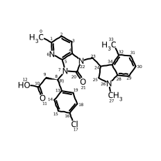 Cc1ccc2c(n1)n([C@H](CC(=O)O)c1ccc(Cl)cc1)c(=O)n2CC1CN(C)c2cccc(C)c21